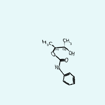 C[C@H](O)[C@H](C)OC(=O)Nc1ccccc1